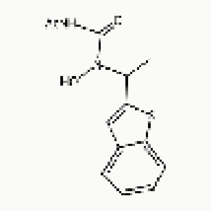 CC(=O)NC(=O)N(O)C(C)c1cc2ccccc2s1